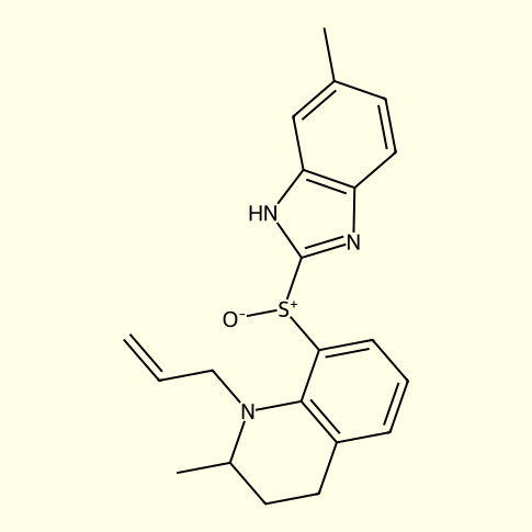 C=CCN1c2c(cccc2[S+]([O-])c2nc3ccc(C)cc3[nH]2)CCC1C